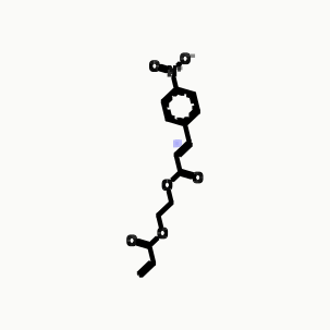 C=CC(=O)OCCOC(=O)/C=C/c1ccc([N+](=O)[O-])cc1